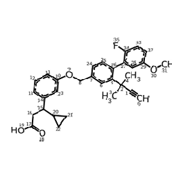 C#CC(C)(C)c1cc(COc2cccc(C(CC(=O)O)C3CC3)c2)ccc1-c1cc(OC)ccc1F